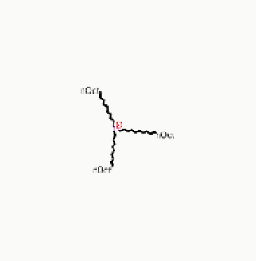 CCCCCCCCC=CCCCCCCCCP(=O)(CCCCCCCCC=CCCCCCCCC)CCCCCCCCC=CCCCCCCCC